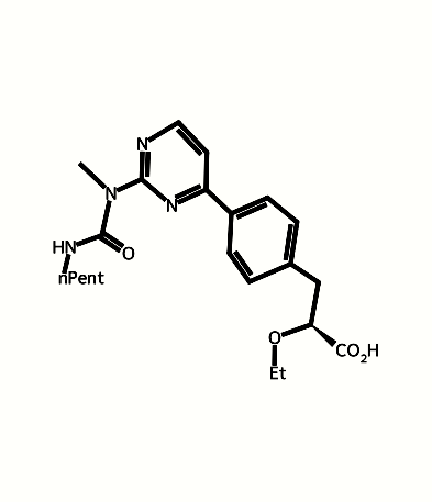 CCCCCNC(=O)N(C)c1nccc(-c2ccc(C[C@H](OCC)C(=O)O)cc2)n1